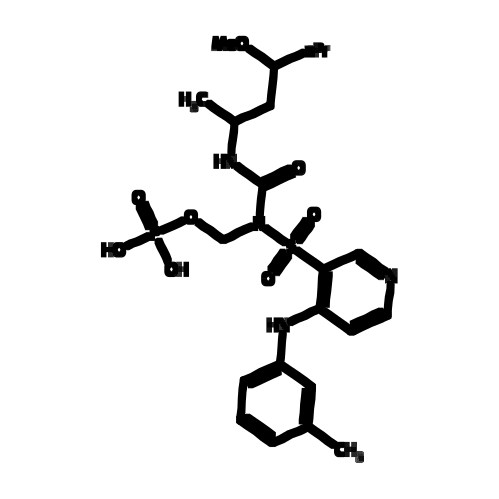 CCCC(CC(C)NC(=O)N(COP(=O)(O)O)S(=O)(=O)c1cnccc1Nc1cccc(C)c1)OC